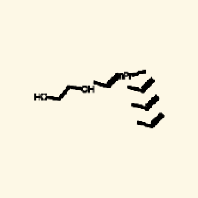 C=CC.C=CC.C=CC.C=CC.CCCC.OCCO